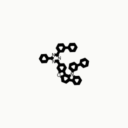 c1ccc(-c2cccc(-c3nc(-c4ccccc4)nc(-c4ccc5c(c4)oc4ccc6c7ccccc7n(-c7cccc(-c8ccccc8)c7)c6c45)n3)c2)cc1